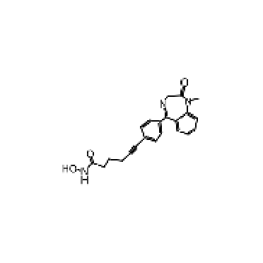 CN1C(=O)CN=C(c2ccc(C#CCCCC(=O)NO)cc2)c2ccccc21